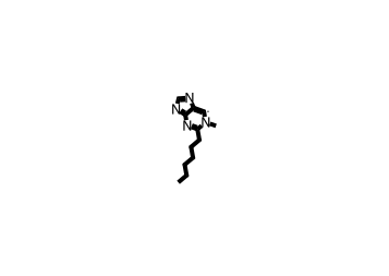 CCCCCCc1nc2ncnc-2[c]n1C